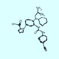 CC(C)CN(c1ccc(-n2cccc2C(=O)O)cc1NC(=O)Nc1ccc(C#N)cc1)C1CCCCC1